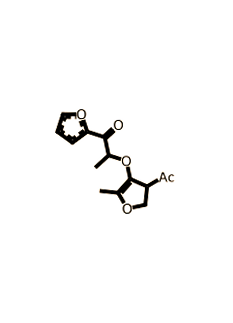 CC(=O)C1COC(C)=C1OC(C)C(=O)c1ccco1